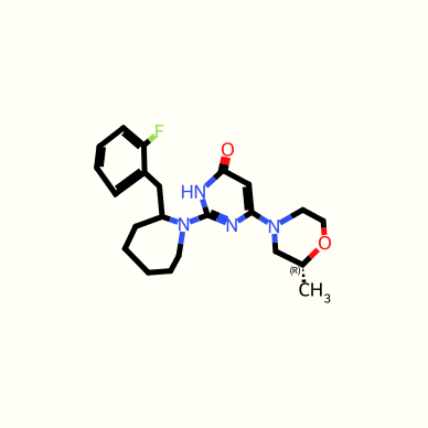 C[C@@H]1CN(c2cc(=O)[nH]c(N3CCCCCC3Cc3ccccc3F)n2)CCO1